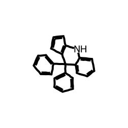 C1=CC2=C(C=1)C(c1ccccc1)(c1ccccc1)c1ccccc1N2